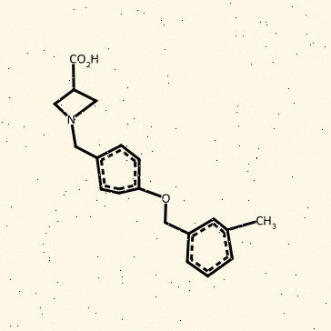 Cc1cccc(COc2ccc(CN3CC(C(=O)O)C3)cc2)c1